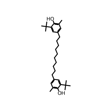 Cc1cc(CCCCCCCCCCc2cc(C)c(O)c(C(C)(C)C)c2)cc(C(C)(C)C)c1O